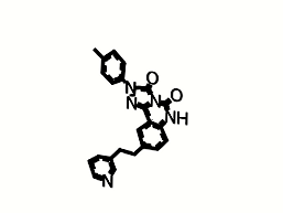 Cc1ccc(-n2nc3c4cc(CCc5cccnc5)ccc4[nH]c(=O)n3c2=O)cc1